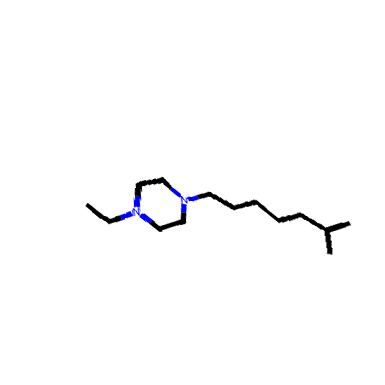 CCN1CCN(CCCCCC(C)C)CC1